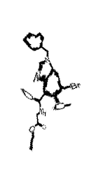 CCOC(=O)CNC(=O)c1c(OC)c(Br)cc2c1ncn2Cc1ccccc1